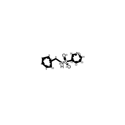 O=S(=O)(NCc1ccccc1)c1cccnc1